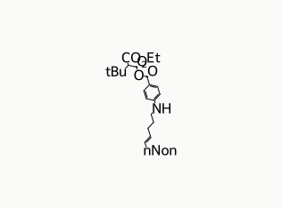 CCCCCCCCCC=CCCCNc1ccc(C(=O)OC(=O)C(C(=O)OCC)C(C)(C)C)cc1